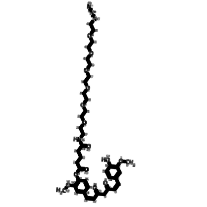 COc1cc(/C=C\C(=O)CC(=O)/C=C\c2ccc(OC(=O)CCCC(=O)NCCOCCOCCOCCOCCOCCOCCN=[N+]=[N-])c(OC)c2)ccc1O